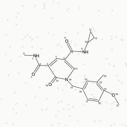 CNC(=O)c1cc(C(=O)NC2CC2)cn(Cc2ccc(OC)c(C)c2)c1=O